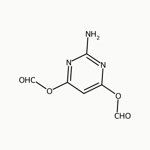 Nc1nc(OC=O)cc(OC=O)n1